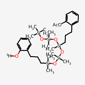 [3H]Oc1ccccc1CCC[Si](C)(C)O[Si](C)(C)O[Si](C)(CCCc1ccccc1OC(C)=O)O[Si](C)(C)O[Si](C)(C)C